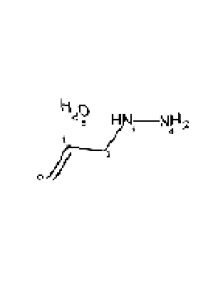 C=CCNN.O